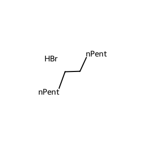 Br.CCCCCCCCCCCC